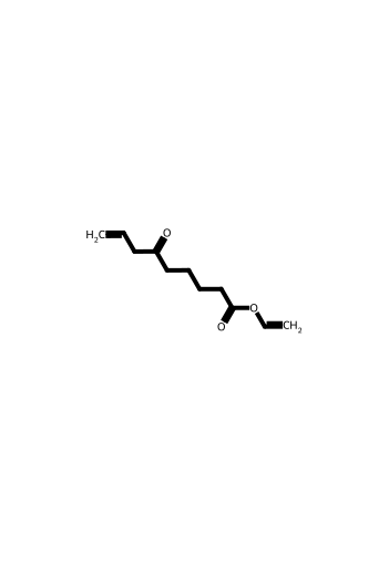 C=CCC(=O)CCCCC(=O)OC=C